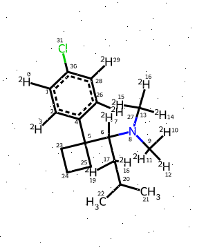 [2H]c1c([2H])c(C2(C([2H])(N(C([2H])([2H])[2H])C([2H])([2H])[2H])C([2H])([2H])C(C)C)CCC2)c([2H])c([2H])c1Cl